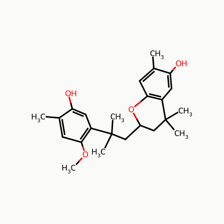 COc1cc(C)c(O)cc1C(C)(C)CC1CC(C)(C)c2cc(O)c(C)cc2O1